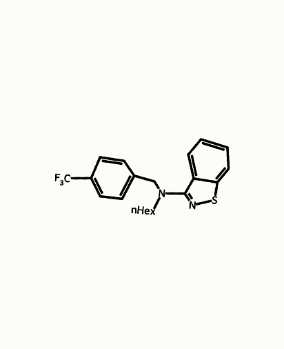 CCCCCCN(Cc1ccc(C(F)(F)F)cc1)c1nsc2ccccc12